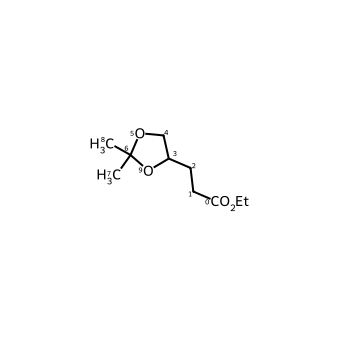 CCOC(=O)CCC1COC(C)(C)O1